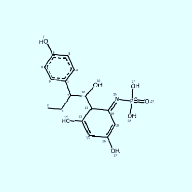 CCC(c1ccc(O)cc1)C(O)C1C(O)=CC(O)=CC1=NP(=O)(O)O